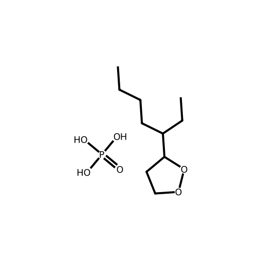 CCCCC(CC)C1CCOO1.O=P(O)(O)O